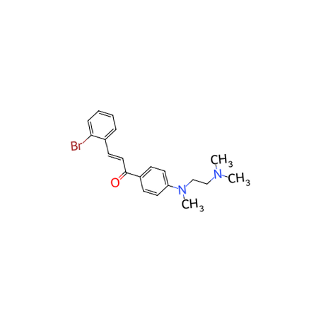 CN(C)CCN(C)c1ccc(C(=O)C=Cc2ccccc2Br)cc1